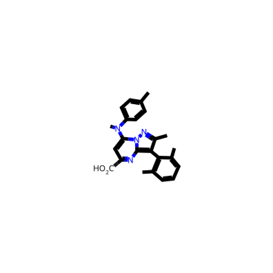 Cc1ccc(N(C)c2cc(C(=O)O)nc3c(-c4c(C)cccc4C)c(C)nn23)cc1